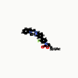 CC(=O)NC[C@H]1CN(c2ccc(-c3ccc(CNCc4cc5ccccc5n4C)cc3)c(F)c2)C(=O)O1